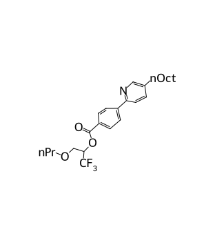 CCCCCCCCc1ccc(-c2ccc(C(=O)OC(COCCC)C(F)(F)F)cc2)nc1